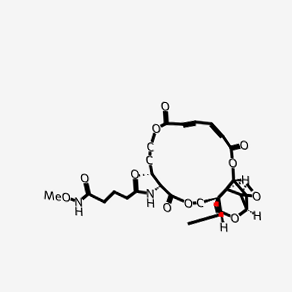 CONC(=O)CCCC(=O)N[C@H]1C(=O)OC[C@]23CCC(C)=C[C@H]2O[C@@H]2C[C@@H](OC(=O)/C=C\C=C\C(=O)OCC[C@H]1C)[C@@]3(C)[C@]21CO1